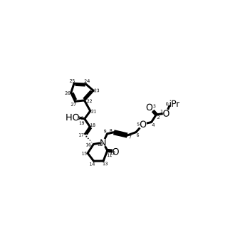 CC(C)OC(=O)COCC#CCN1C(=O)CCC[C@@H]1C=CC(O)Cc1ccccc1